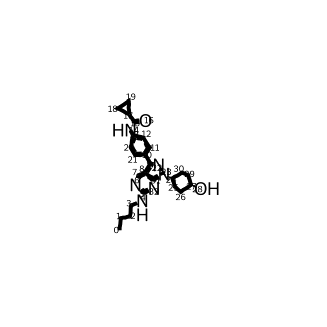 CCCCNc1ncc2c(-c3ccc(NC(=O)C4CC4)cc3)nn([C@H]3CC[C@@H](O)CC3)c2n1